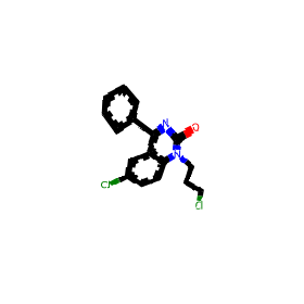 O=c1nc(-c2ccccc2)c2cc(Cl)ccc2n1CCCCl